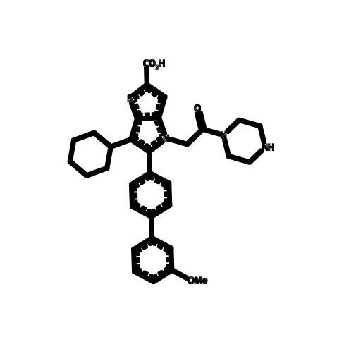 COc1cccc(-c2ccc(-c3c(C4CCCCC4)c4sc(C(=O)O)cc4n3CC(=O)N3CCNCC3)cc2)c1